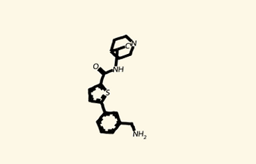 NCc1cccc(-c2ccc(C(=O)NC3CN4CCC3CC4)s2)c1